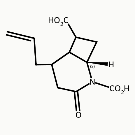 C=CCC1CC(=O)N(C(=O)O)[C@H]2CC(C(=O)O)C12